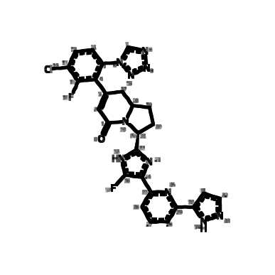 O=C1C=C(c2c(-n3cnnn3)ccc(Cl)c2F)CC2CC[C@@H](c3nc(-c4cccc(-c5ccn[nH]5)n4)c(F)[nH]3)N12